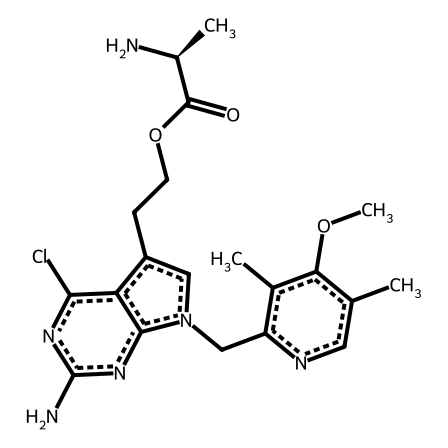 COc1c(C)cnc(Cn2cc(CCOC(=O)[C@H](C)N)c3c(Cl)nc(N)nc32)c1C